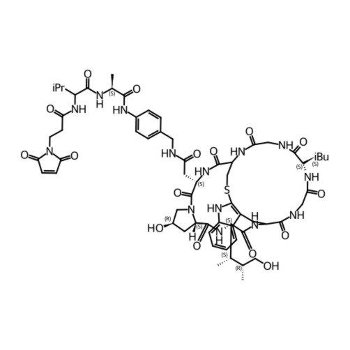 CC[C@H](C)[C@@H]1NC(=O)CNC(=O)C2Cc3c([nH]c4ccccc34)SCC(NC(=O)CNC1=O)C(=O)N[C@@H](CC(=O)NCc1ccc(NC(=O)[C@H](C)NC(=O)C(NC(=O)CCN3C(=O)C=CC3=O)C(C)C)cc1)C(=O)N1C[C@H](O)C[C@H]1C(=O)N[C@@H]([C@@H](C)[C@@H](C)CO)C(=O)N2